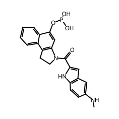 CNc1ccc2[nH]c(C(=O)N3CCc4c3cc(OP(O)O)c3ccccc43)cc2c1